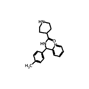 Cc1ccc(C(NC(=O)C2CCNCC2)c2ccccn2)cc1